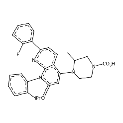 CC(C)c1ccccc1-n1c(=O)cc(N2CCN(C(=O)O)CC2C)c2ccc(-c3ccccc3F)nc21